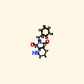 O=C1C2=C(NCCC2)C(=O)N1Cc1ccccc1